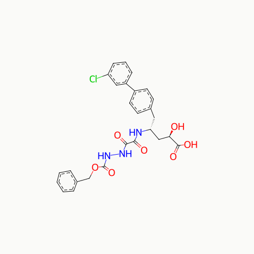 O=C(NNC(=O)C(=O)N[C@H](Cc1ccc(-c2cccc(Cl)c2)cc1)C[C@@H](O)C(=O)O)OCc1ccccc1